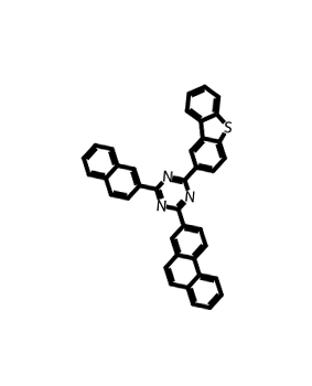 c1ccc2cc(-c3nc(-c4ccc5c(ccc6ccccc65)c4)nc(-c4ccc5sc6ccccc6c5c4)n3)ccc2c1